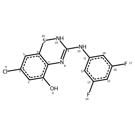 Oc1cc(Cl)cc2c1N=C(Nc1cc(F)cc(F)c1)NS2